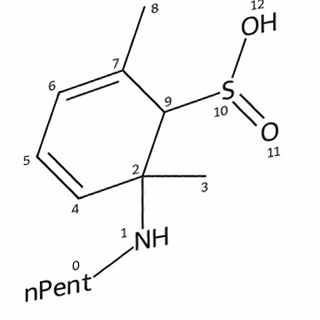 CCCCCNC1(C)C=CC=C(C)C1S(=O)O